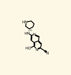 N#Cc1cc2cnc(N[C@H]3CCCNC3)cc2c(O)n1